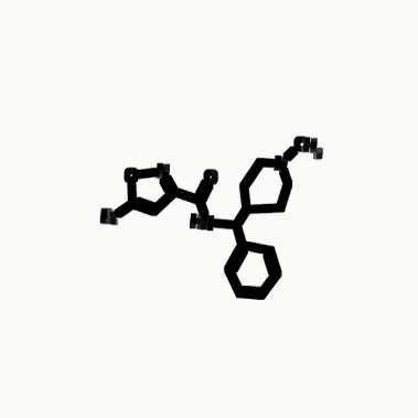 CCc1cc(C(=O)NC(c2ccccc2)C2CCN(C)CC2)no1